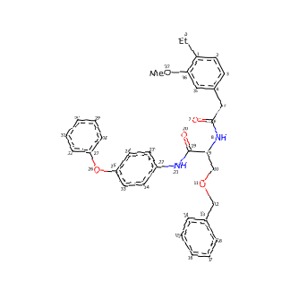 CCc1ccc(CC(=O)NC(COCc2ccccc2)C(=O)Nc2ccc(Oc3ccccc3)cc2)cc1OC